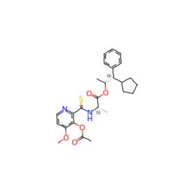 COc1ccnc(C(=S)N[C@@H](C)C(=O)OC(C)[C@H](c2ccccc2)C2CCCC2)c1OC(C)=O